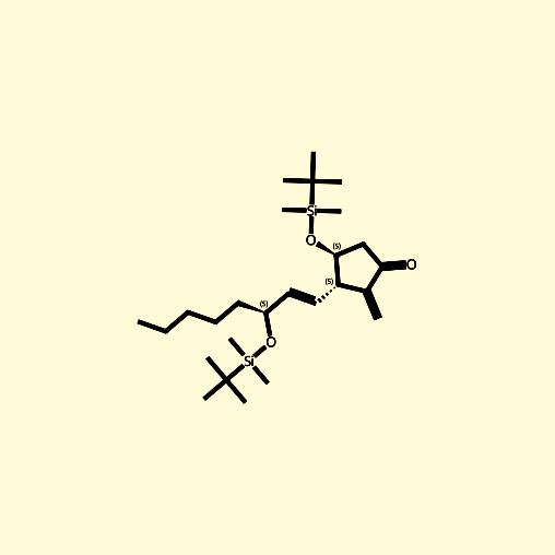 C=C1C(=O)C[C@H](O[Si](C)(C)C(C)(C)C)[C@H]1C=C[C@H](CCCCC)O[Si](C)(C)C(C)(C)C